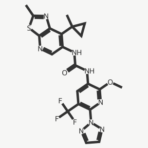 COc1nc(-n2nccn2)c(C(F)(F)F)cc1NC(=O)Nc1cnc2sc(C)nc2c1C1(C)CC1